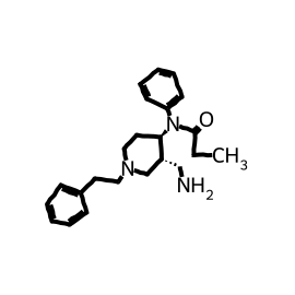 CCC(=O)N(c1ccccc1)[C@@H]1CCN(CCc2ccccc2)C[C@H]1CN